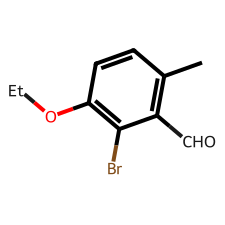 CCOc1ccc(C)c(C=O)c1Br